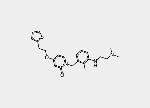 Cc1c(Cn2ccc(OCCc3cccs3)cc2=O)cccc1NCCN(C)C